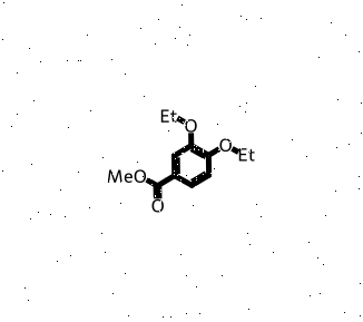 CCOc1ccc(C(=O)OC)cc1OCC